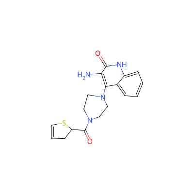 Nc1c(N2CCN(C(=O)C3CC=CS3)CC2)c2ccccc2[nH]c1=O